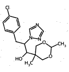 CC1OCC(C)(C(O)C(Cc2ccc(Cl)cc2)n2cncn2)CO1